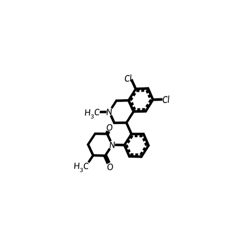 CC1CCC(=O)N(c2ccccc2C2CN(C)Cc3c(Cl)cc(Cl)cc32)C1=O